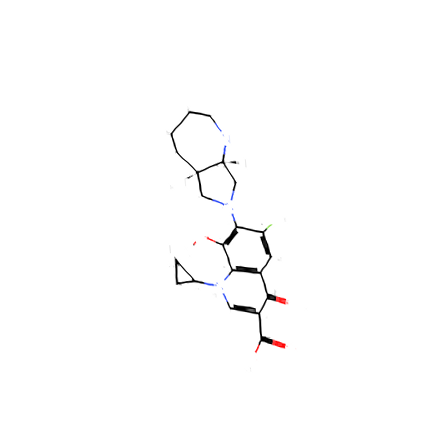 COc1c(N2C[C@@H]3CCCCN[C@@H]3C2)c(F)cc2c(=O)c(C(=O)O)cn(C3CC3)c12